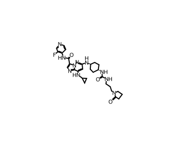 O=C(NCCCN1CCCC1=O)N[C@H]1CC[C@H](Nc2cc(NC3CC3)c3ncc(C(=O)Nc4ccncc4F)n3n2)CC1